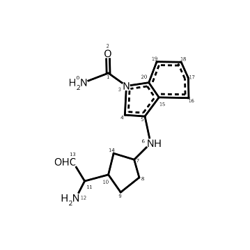 NC(=O)n1cc(NC2CCC(C(N)C=O)C2)c2ccccc21